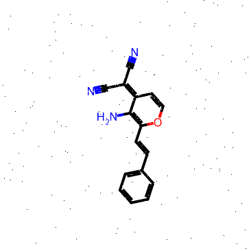 N#CC(C#N)=C1C=COC(C=Cc2ccccc2)=C1N